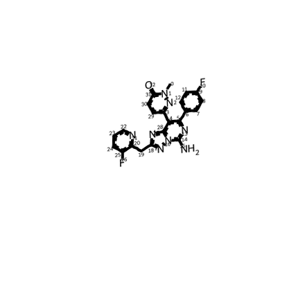 Cn1nc(-c2c(-c3ccc(F)cc3)nc(N)n3nc(Cc4ncccc4F)nc23)ccc1=O